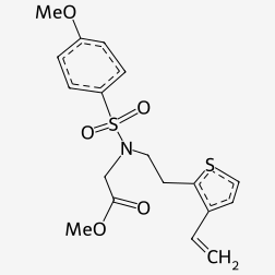 C=Cc1ccsc1CCN(CC(=O)OC)S(=O)(=O)c1ccc(OC)cc1